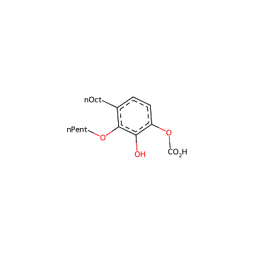 CCCCCCCCc1ccc(OC(=O)O)c(O)c1OCCCCC